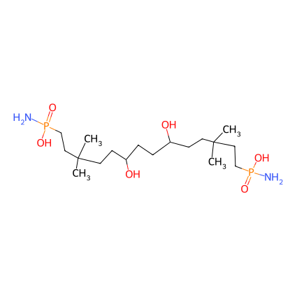 CC(C)(CCC(O)CCC(O)CCC(C)(C)CCP(N)(=O)O)CCP(N)(=O)O